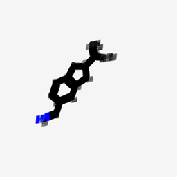 C=C(CCCC)C1Cc2ccc(C=N)cc2C1